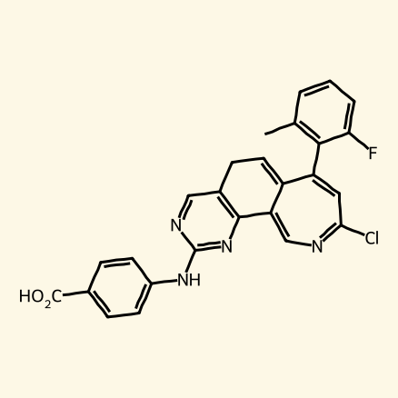 Cc1cccc(F)c1C1=CC(Cl)=NC=C2C1=CCc1cnc(Nc3ccc(C(=O)O)cc3)nc12